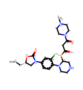 CC(=O)NC[C@H]1CN(c2ccc(N3CCNCC3SC(=O)CC(=O)N3CCN(C)CC3)c(F)c2)C(=O)O1